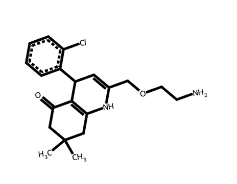 CC1(C)CC(=O)C2=C(C1)NC(COCCN)=CC2c1ccccc1Cl